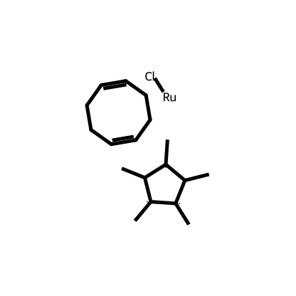 C1=CCCC=CCC1.C[C]1[C](C)[C](C)[C](C)[C]1C.[Cl][Ru]